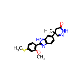 COc1cc(SC)ccc1-c1nc2ccc(C3(C)C=NNC(=O)C3)cc2[nH]1